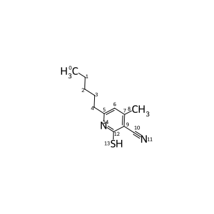 CCCCCc1cc(C)c(C#N)c(S)n1